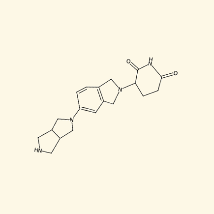 O=C1CCC(N2Cc3ccc(N4CC5CNCC5C4)cc3C2)C(=O)N1